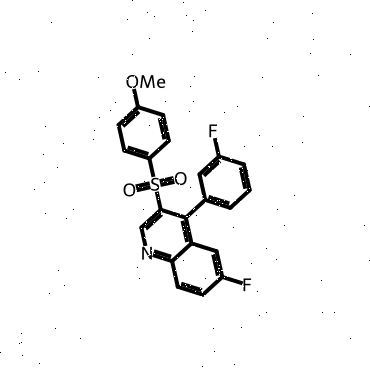 COc1ccc(S(=O)(=O)c2cnc3ccc(F)cc3c2-c2cccc(F)c2)cc1